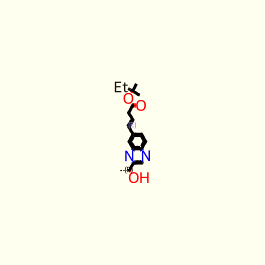 CCC(C)(C)OC(=O)C/C=C/c1ccc2ncc([C@@H](C)O)nc2c1